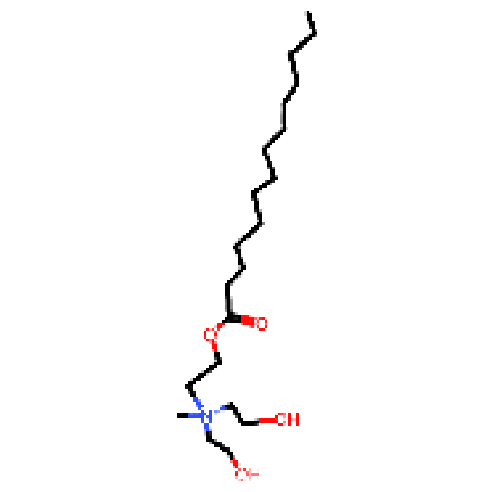 CCCCCCCCCCCCCC(=O)OCC[N+](C)(CCO)CCO